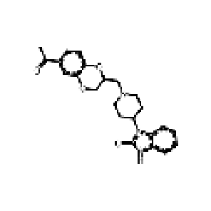 CC(=O)c1ccc2c(c1)OCC(CN1CCC(n3c(=O)[nH]c4ccccc43)CC1)O2